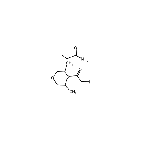 CC1COCC(C)N1C(=O)CI.NC(=O)CI